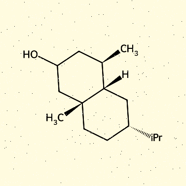 CC(C)[C@@H]1CC[C@]2(C)CC(O)C[C@@H](C)[C@@H]2C1